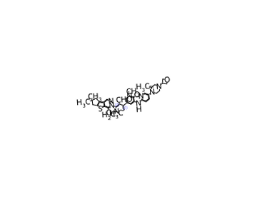 C=N/C(=C(C=O)\C(=C/C)c1cc(Nc2ccc(N3CCN(C4COC4)C[C@@H]3C)cn2)c(=O)n(C)c1)n1ncc2c3c(sc2c1=O)CC(C)(C)C3